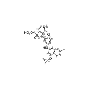 CN1CCc2c(cc(Nc3ncc(Cl)c(N4CC(C)(CC(=O)O)c5ccc(F)cc54)n3)cc2OC2CC2)C1